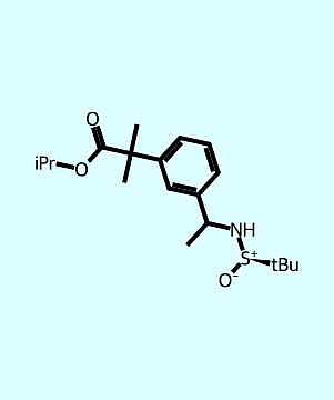 CC(C)OC(=O)C(C)(C)c1cccc(C(C)N[S@+]([O-])C(C)(C)C)c1